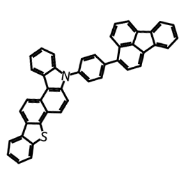 c1ccc2c(c1)-c1cccc3c(-c4ccc(-n5c6ccccc6c6c7ccc8c9ccccc9sc8c7ccc65)cc4)ccc-2c13